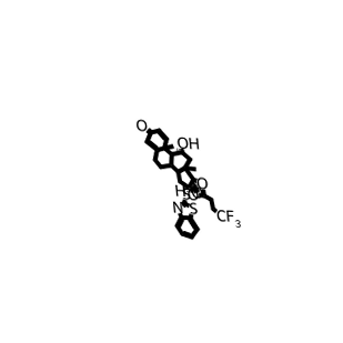 CC12C=CC(=O)C=C1CCC1C2[C@@H](O)CC2(C)C1C[C@@H]1OC(CCC(F)(F)F)O[C@]12C(=O)Sc1nc2ccccc2s1